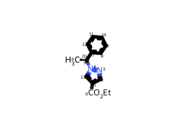 CCOC(=O)c1cnn([C@@H](C)c2ccccc2)c1